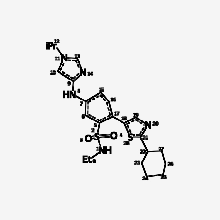 CCNS(=O)(=O)c1cc(Nc2cn(C(C)C)cn2)ccc1-c1cnc(C2CCCCC2)s1